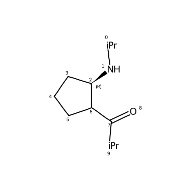 CC(C)N[C@@H]1CCCC1C(=O)C(C)C